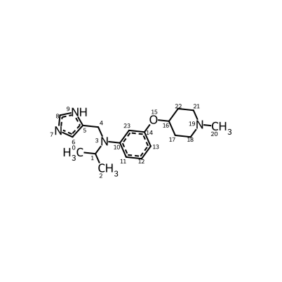 CC(C)N(Cc1cnc[nH]1)c1cccc(OC2CCN(C)CC2)c1